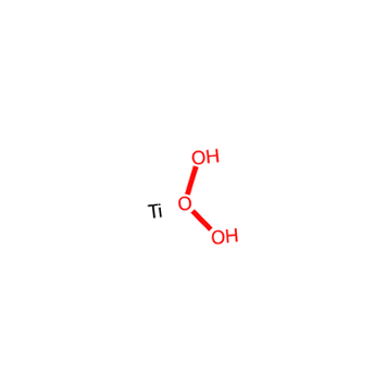 OOO.[Ti]